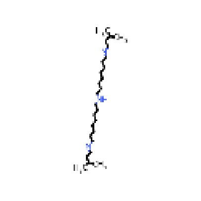 CC(C)CC=NCCCCCCCCNCCCCCCCCN=CCC(C)C